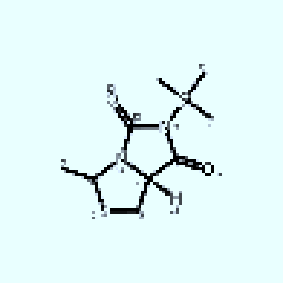 CC1SC[C@H]2C(=O)N([Si](C)(C)C)C(=O)N12